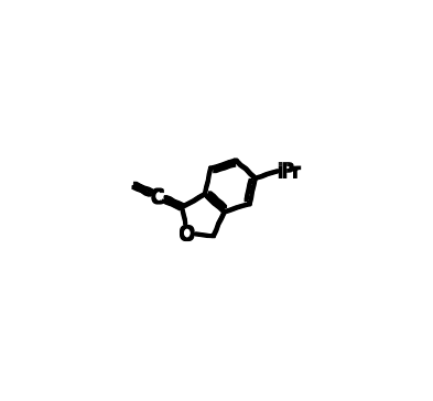 C=C=C1OCc2cc(C(C)C)ccc21